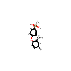 CCc1ccc(Oc2ccc(S(C)(=O)=O)cc2)c(OC)c1